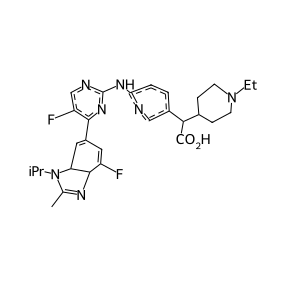 CCN1CCC(C(C(=O)O)c2ccc(Nc3ncc(F)c(C4=CC5C(N=C(C)N5C(C)C)C(F)=C4)n3)nc2)CC1